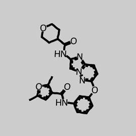 Cc1cc(C(=O)Nc2cccc(Oc3ccc4nc(NC(=O)C5CCOCC5)cn4n3)c2)c(C)o1